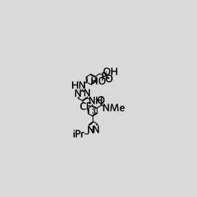 CNC(=O)c1cc(-c2cnn(CC(C)C)c2)ccc1Nc1nc(Nc2ccc(CP(=O)(O)O)cc2)ncc1C(F)(F)F